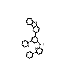 c1ccc(-c2cccc(Nc3cc(-c4ccc5sc6ccccc6c5c4)cc(-c4ccccn4)c3)n2)cc1